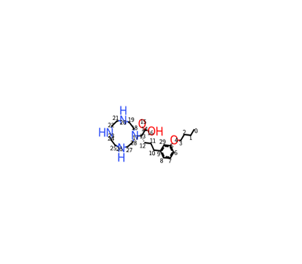 CCCCOc1cccc(CCC[C@@H](C(=O)O)N2CCNCCNCCNCC2)c1